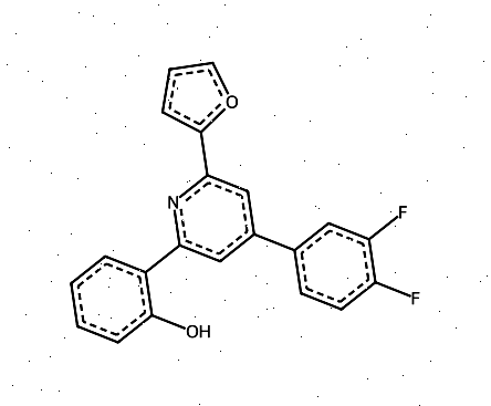 Oc1ccccc1-c1cc(-c2ccc(F)c(F)c2)cc(-c2ccco2)n1